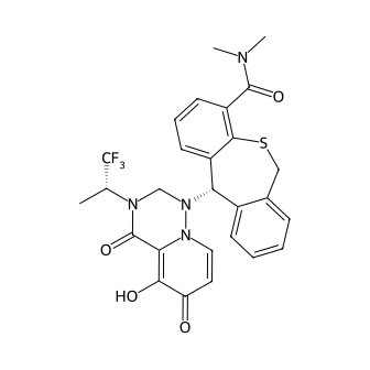 C[C@@H](N1CN([C@H]2c3ccccc3CSc3c(C(=O)N(C)C)cccc32)n2ccc(=O)c(O)c2C1=O)C(F)(F)F